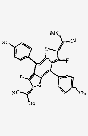 N#CC(C#N)=c1sc2c(-c3ccc(C#N)cc3)c3c(F)c(=C(C#N)C#N)sc3c(-c3ccc(C#N)cc3)c2c1F